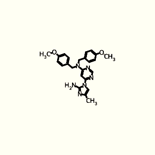 COc1ccc(CN(Cc2ccc(OC)cc2)c2cc(-n3cc(C)nc3N)ncn2)cc1